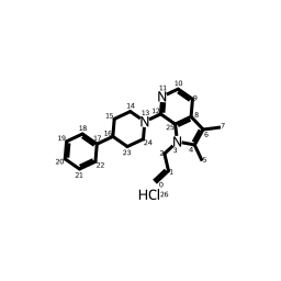 C=CCn1c(C)c(C)c2ccnc(N3CCC(c4ccccc4)CC3)c21.Cl